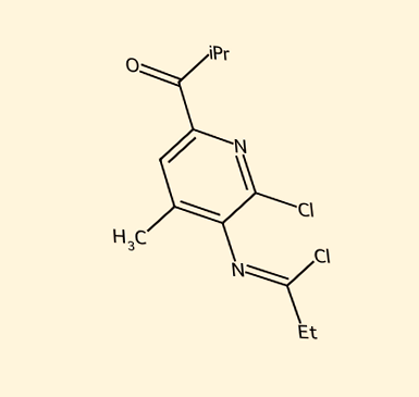 CC/C(Cl)=N/c1c(C)cc(C(=O)C(C)C)nc1Cl